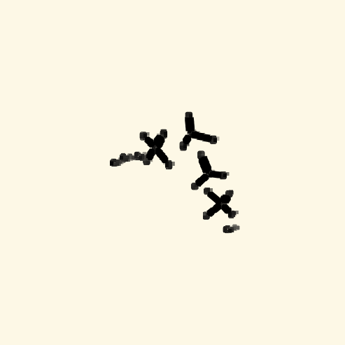 O=P([O-])([O-])[O-].O=P([O-])([O-])[O-].O=[N+]([O-])[O-].O=[N+]([O-])[O-].[Ca+2].[Ca+2].[Ca+2].[Ca+2]